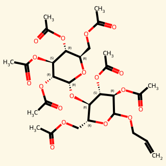 C=CCOC1O[C@H](COC(C)=O)[C@@H](O[C@H]2O[C@H](COC(C)=O)[C@@H](OC(C)=O)[C@H](OC(C)=O)[C@H]2OC(C)=O)[C@H](OC(C)=O)[C@H]1OC(C)=O